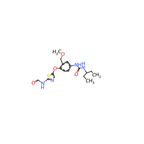 CCC(CC)NC(=O)Nc1ccc(Oc2cnc(NC=O)s2)c(COC)c1